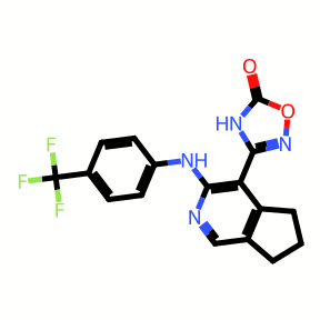 O=c1[nH]c(-c2c(Nc3ccc(C(F)(F)F)cc3)ncc3c2CCC3)no1